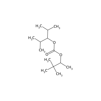 CC(C)C(OC(=O)OC(C)C(C)(C)C)C(C)C